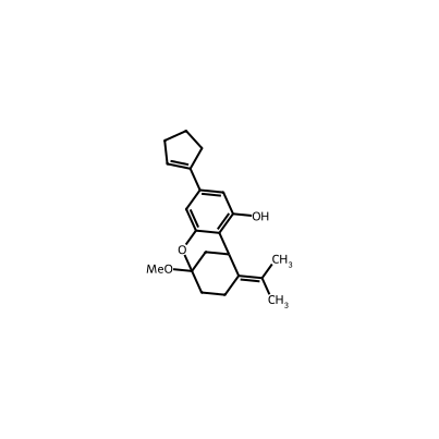 COC12CCC(=C(C)C)C(C1)c1c(O)cc(C3=CCCC3)cc1O2